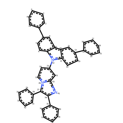 c1ccc(-c2ccc3c(c2)c2cc(-c4ccccc4)ccc2n3-c2ccn3c(-c4ccccc4)c(-c4ccccc4)nc3c2)cc1